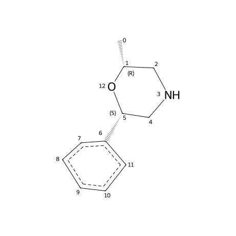 C[C@@H]1CNC[C@H](c2ccccc2)O1